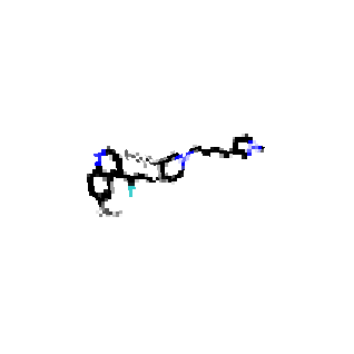 COc1ccc2nccc(C(F)CC[C@@H]3CCN(CCCCc4ccn(C)c4)C[C@@H]3C(=O)O)c2c1